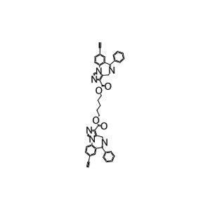 C#Cc1ccc2c(c1)C(c1ccccc1)=NCc1c(C(=O)OCCCCCOC(=O)c3ncn4c3CN=C(c3ccccc3)c3cc(C#C)ccc3-4)ncn1-2